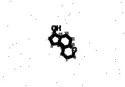 OC1CCC2=C3CCCOC3CCC21